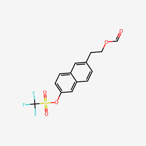 O=COCCc1ccc2cc(OS(=O)(=O)C(F)(F)F)ccc2c1